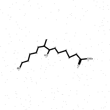 CCC(C)CCCCCC(C)C(O)CCCCCC(=O)OC